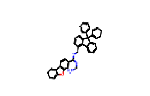 N/C=N\C(=N/Cc1cccc2c1-c1ccccc1C2(C1=CCCC=C1)c1ccccc1)c1ccc2c3c(oc2c1)=CCCC=3